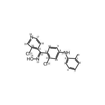 Cc1ccccc1Nc1ccc(C(=NO)c2ccncc2Cl)c(Cl)c1